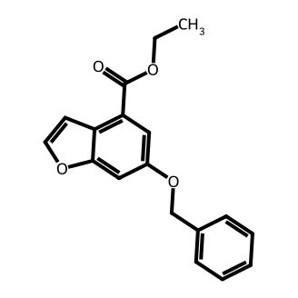 CCOC(=O)c1cc(OCc2ccccc2)cc2occc12